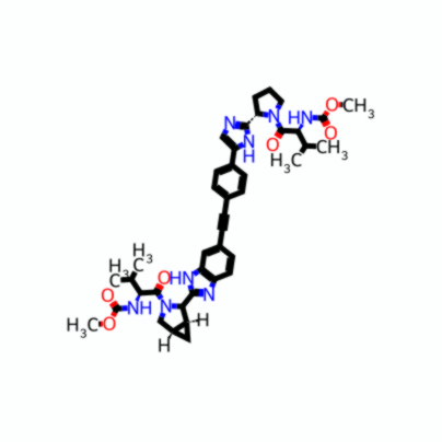 COC(=O)N[C@H](C(=O)N1C[C@@H]2C[C@@H]2C1c1nc2ccc(C#Cc3ccc(-c4cnc([C@@H]5CCCN5C(=O)[C@@H](NC(=O)OC)C(C)C)[nH]4)cc3)cc2[nH]1)C(C)C